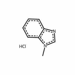 Cl.Cn1cnc2ccccc21